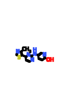 Cc1ncsc1-c1ccnc(Nc2ccc(O)nc2)n1